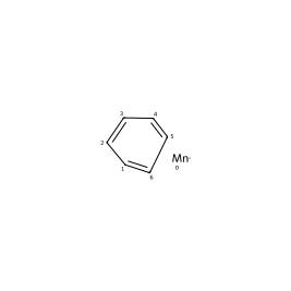 [Mn].c1ccccc1